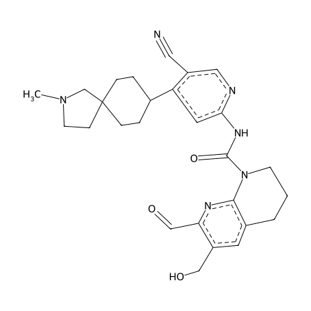 CN1CCC2(CCC(c3cc(NC(=O)N4CCCc5cc(CO)c(C=O)nc54)ncc3C#N)CC2)C1